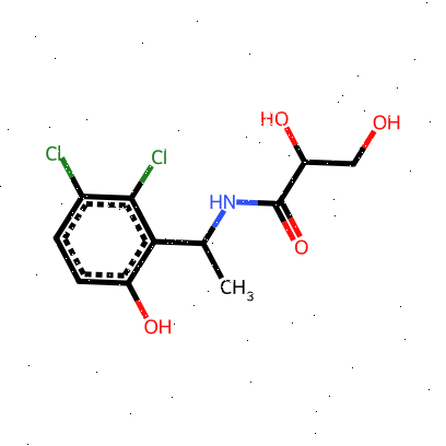 CC(NC(=O)C(O)CO)c1c(O)ccc(Cl)c1Cl